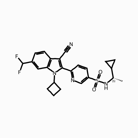 C[C@H](NS(=O)(=O)c1ccc(-c2c(C#N)c3ccc(C(F)F)cc3n2C2CCC2)nc1)C1CC1